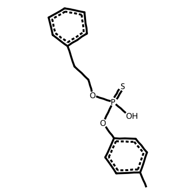 Cc1ccc(OP(O)(=S)OCCc2ccccc2)cc1